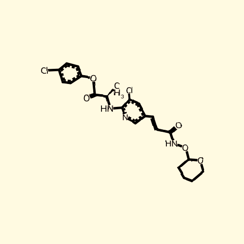 C[C@@H](Nc1ncc(/C=C/C(=O)NOC2CCCCO2)cc1Cl)C(=O)Oc1ccc(Cl)cc1